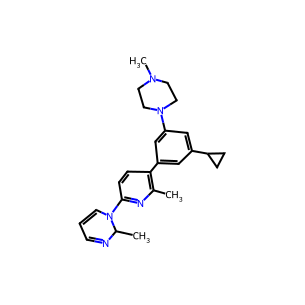 Cc1nc(N2C=CC=NC2C)ccc1-c1cc(C2CC2)cc(N2CCN(C)CC2)c1